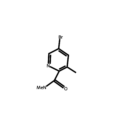 CNC(=O)c1ncc(Br)cc1C